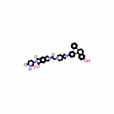 O=C1CC[C@@H](N2C(=O)c3cc4c(cc3C2=O)CN(C(=O)CN2CCC3(CC2)CN(c2ccc([C@@H]5c6ccc(O)cc6CC[C@@H]5c5ccccc5)cc2)C3)C4)C(=O)N1